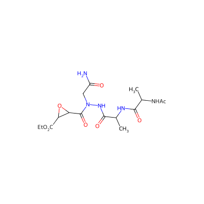 CCOC(=O)C1OC1C(=O)N(CC(N)=O)NC(=O)C(C)NC(=O)C(C)NC(C)=O